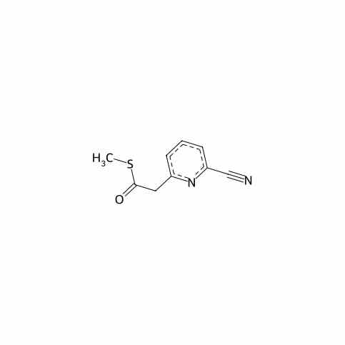 CSC(=O)Cc1cccc(C#N)n1